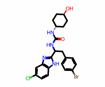 O=C(NC(Cc1ccc(Br)cc1)c1nc2cc(Cl)ccc2[nH]1)N[C@H]1CC[C@H](O)CC1